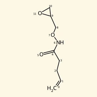 C=CCCC(=O)NOCC1CO1